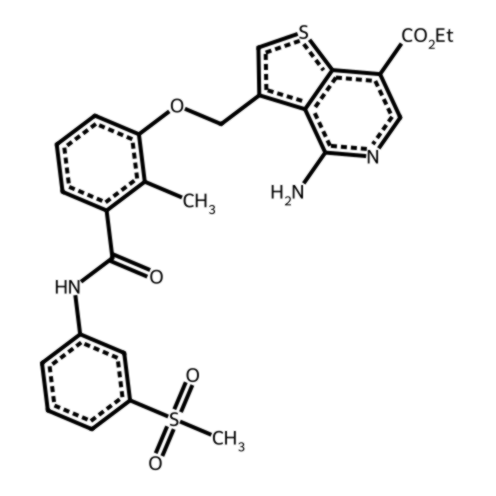 CCOC(=O)c1cnc(N)c2c(COc3cccc(C(=O)Nc4cccc(S(C)(=O)=O)c4)c3C)csc12